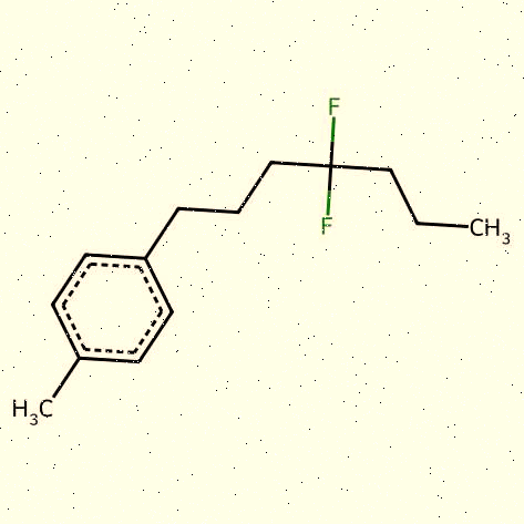 CCCC(F)(F)CCCc1ccc(C)cc1